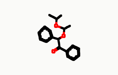 CC(C)OC(C)OC(C(=O)c1ccccc1)c1ccccc1